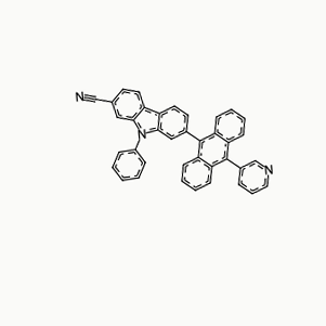 N#Cc1ccc2c3ccc(-c4c5ccccc5c(-c5cccnc5)c5ccccc45)cc3n(-c3ccccc3)c2c1